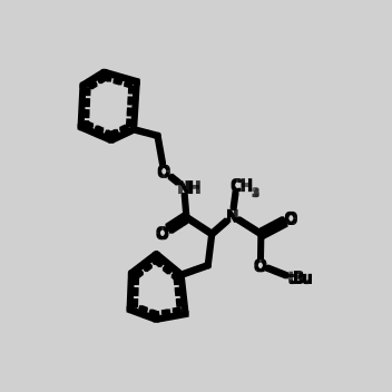 CN(C(=O)OC(C)(C)C)C(Cc1ccccc1)C(=O)NOCc1ccccc1